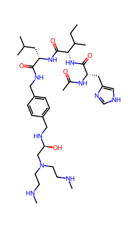 CCC(C)[C@H](NC(=O)[C@H](Cc1c[nH]cn1)NC(C)=O)C(=O)N[C@@H](CC(C)C)C(=O)NCc1ccc(CN[C@@H](O)CN(CCNC)CCNC)cc1